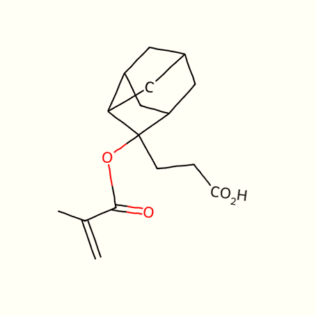 C=C(C)C(=O)OC1(CCC(=O)O)C2CC3CC(C2)C1C3